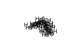 CC(C)[C@H](N)C(=O)O.C[C@@H](O)[C@H](N)C(=O)O.NCC(=O)O.N[C@@H](CO)C(=O)O.N[C@@H](CS)C(=O)O.N[C@@H](CS)C(=O)O